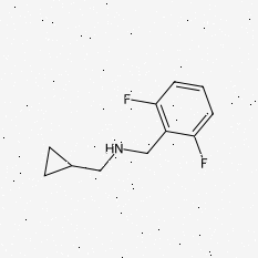 Fc1cccc(F)c1CNCC1CC1